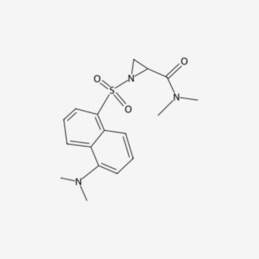 CN(C)C(=O)C1CN1S(=O)(=O)c1cccc2c(N(C)C)cccc12